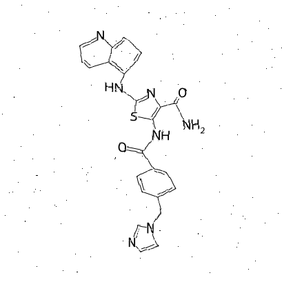 NC(=O)c1nc(Nc2cccc3ncccc23)sc1NC(=O)c1ccc(Cn2ccnc2)cc1